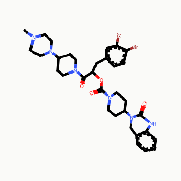 CN1CCN(C2CCN(C(=O)C(Cc3ccc(Br)c(Br)c3)OC(=O)N3CCC(N4Cc5ccccc5NC4=O)CC3)CC2)CC1